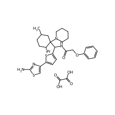 CC1CCC(C(C)C)C(C(NC(=O)COc2ccccc2)c2ccc(-c3csc(N)n3)s2)(N2CCCCC2)C1.O=C(O)C(=O)O